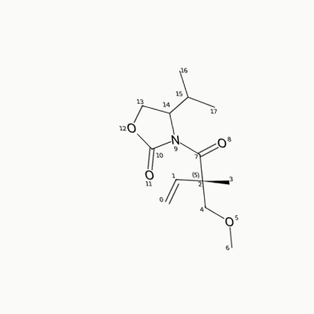 C=C[C@@](C)(COC)C(=O)N1C(=O)OCC1C(C)C